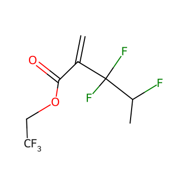 C=C(C(=O)OCC(F)(F)F)C(F)(F)C(C)F